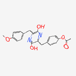 COc1ccc(Cc2nc(O)c(Cc3ccc(OC(C)=O)cc3)nc2O)cc1